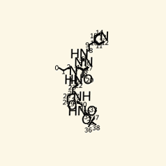 CCCNc1nc(NCCc2ccncc2)ncc1C(=O)NCCC(CC)NC(=O)CNC(=O)OC(C)(C)C